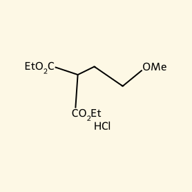 CCOC(=O)C(CCOC)C(=O)OCC.Cl